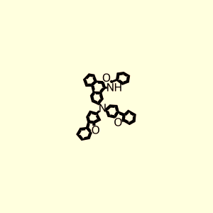 c1ccc(C2Nc3c(c4ccccc4c4ccc(N(c5ccc6c(c5)oc5ccccc56)c5ccc6c(c5)oc5ccccc56)cc34)O2)cc1